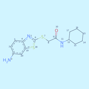 Nc1ccc2nc(SCC(=O)NC3CCCCC3)sc2c1